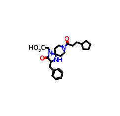 O=C(O)CN1C(=O)C(Cc2ccccc2)NC12CCN(C(=O)CCC1CCCC1)CC2